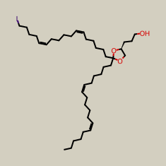 CCCCC/C=C\CCCC/C=C\CCCCCC1(CCCCC/C=C\CCCC/C=C\CCCCI)OC[C@H](CCCO)O1